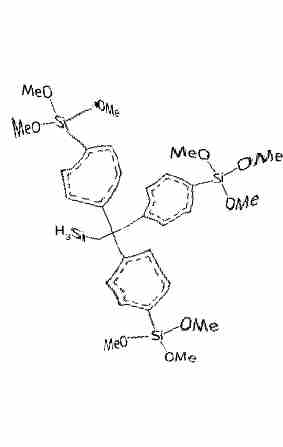 CO[Si](OC)(OC)c1ccc(C([SiH3])(c2ccc([Si](OC)(OC)OC)cc2)c2ccc([Si](OC)(OC)OC)cc2)cc1